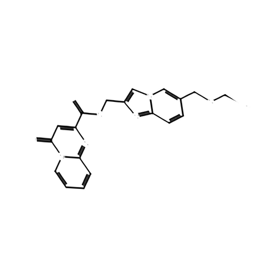 CC[C@H](C)CNCc1ccc2nc(CNC(=O)c3cc(=O)n4ccccc4n3)cn2c1